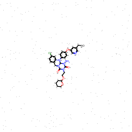 NN1C(=O)N(CCOC2CCCCO2)C(=O)N(Cc2ccc(Cl)cc2)C1Nc1ccc(Oc2cncc(CN=O)c2)cc1